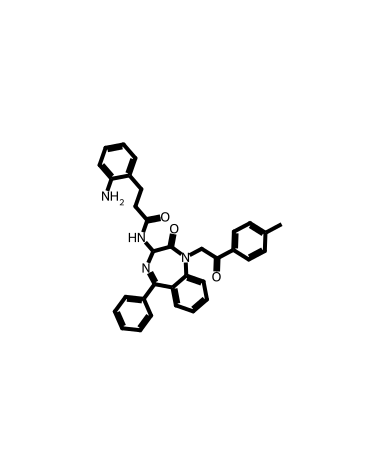 Cc1ccc(C(=O)CN2C(=O)C(NC(=O)CCc3ccccc3N)N=C(c3ccccc3)c3ccccc32)cc1